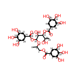 CC(COC(=O)c1cc(O)c(O)c(O)c1)OC(OC(=O)c1cc(O)c(O)c(O)c1)C(O)C(OC(=O)c1cc(O)c(O)c(O)c1)C(C)O